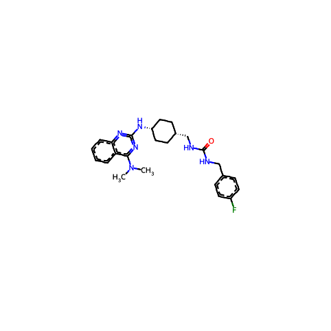 CN(C)c1nc(N[C@H]2CC[C@@H](CNC(=O)NCc3ccc(F)cc3)CC2)nc2ccccc12